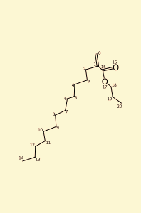 C=C(CCCCCCCCCCCCC)C(=O)OCCC